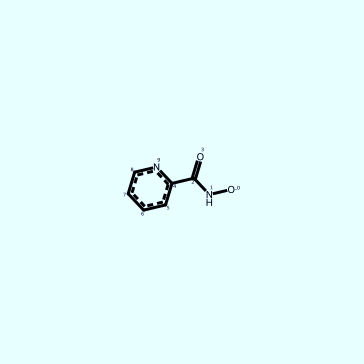 [O]NC(=O)c1ccccn1